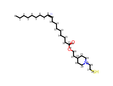 CCCCCCCC/C=C\CCCCCCCC(=O)OCCC1CCN(CCS)CC1